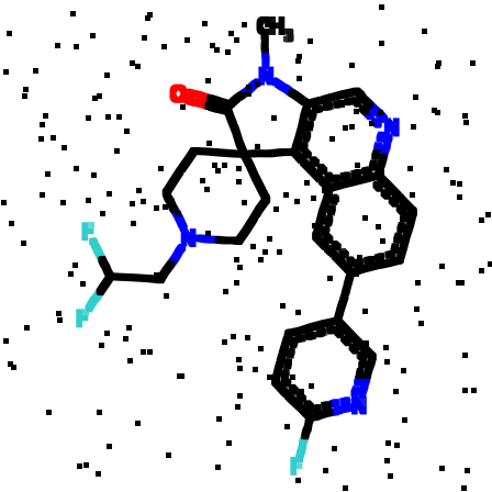 CN1C(=O)C2(CCN(CC(F)F)CC2)c2c1cnc1ccc(-c3ccc(F)nc3)cc21